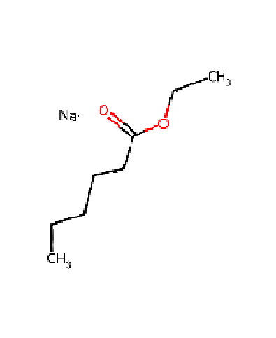 CCCCCC(=O)OCC.[Na]